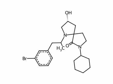 CC(Cc1cccc(Br)c1)N1C[C@H](O)CC12CCN(C1CCCCC1)C2=O